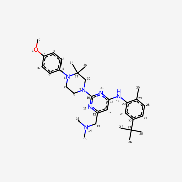 COc1ccc(N2CCN(c3nc(CN(C)C)cc(Nc4cc(C(C)(C)C)ccc4C)n3)CC2(C)C)cc1